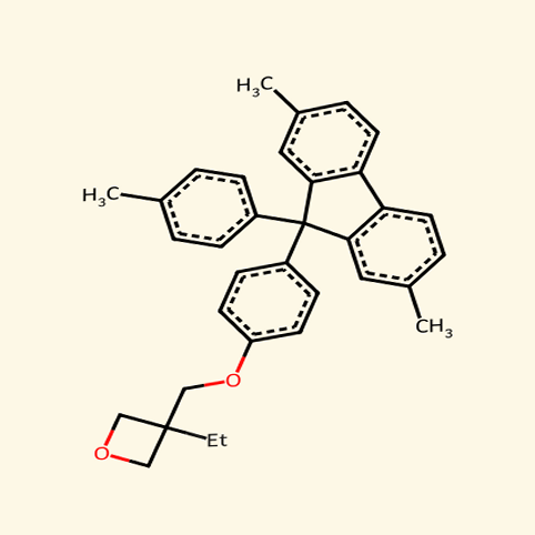 CCC1(COc2ccc(C3(c4ccc(C)cc4)c4cc(C)ccc4-c4ccc(C)cc43)cc2)COC1